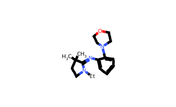 CCN1CCC(C)(C)C1=Nc1ccccc1N1CCOCC1